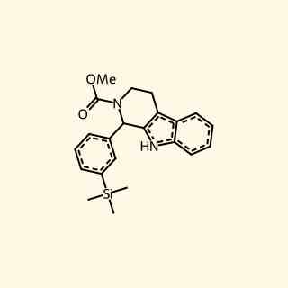 COC(=O)N1CCc2c([nH]c3ccccc23)C1c1cccc([Si](C)(C)C)c1